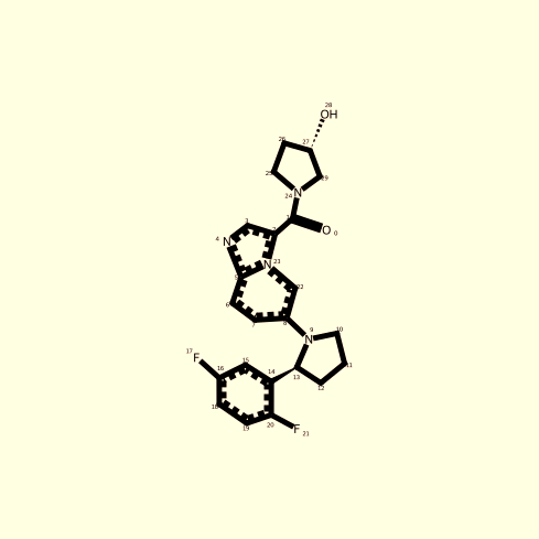 O=C(c1cnc2ccc(N3CCC[C@H]3c3cc(F)ccc3F)cn12)N1CC[C@H](O)C1